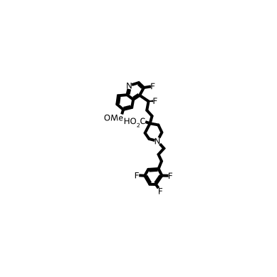 COc1ccc2ncc(F)c([C@@H](F)CCC3(C(=O)O)CCN(CCCc4cc(F)cc(F)c4F)CC3)c2c1